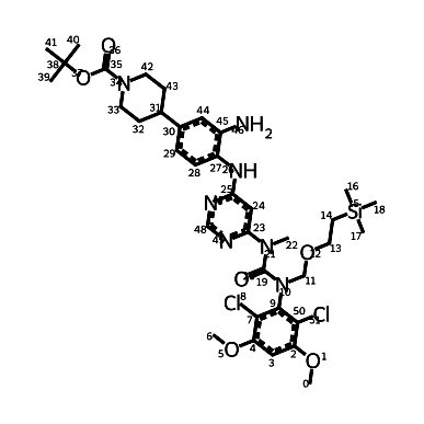 COc1cc(OC)c(Cl)c(N(COCC[Si](C)(C)C)C(=O)N(C)c2cc(Nc3ccc(C4CCN(C(=O)OC(C)(C)C)CC4)cc3N)ncn2)c1Cl